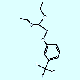 CCOC(COc1cccc(C(F)(F)F)c1)OCC